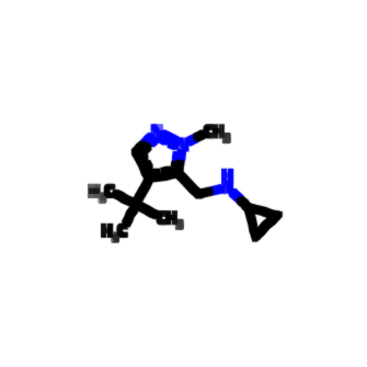 Cn1ncc(C(C)(C)C)c1CNC1CC1